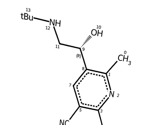 Cc1nc(N)c(C#N)cc1[C@@H](O)CNC(C)(C)C